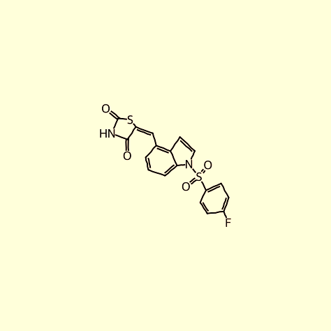 O=C1NC(=O)C(=Cc2cccc3c2ccn3S(=O)(=O)c2ccc(F)cc2)S1